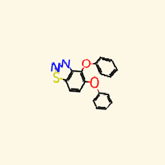 c1ccc(Oc2ccc3snnc3c2Oc2ccccc2)cc1